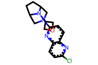 Clc1ccc2nc(N3CC4CCC(C3)N4C3COC3)ccc2n1